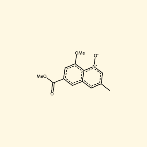 COC(=O)c1cc(OC)c2c(cc(C)c[n+]2[O-])c1